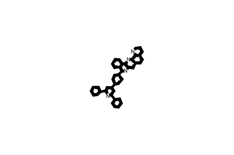 c1ccc(-c2cc(-c3ccc(-c4nc5cc6ccc7cccnc7c6nc5c5ccccc45)cc3)cc(-c3ccccc3)n2)cc1